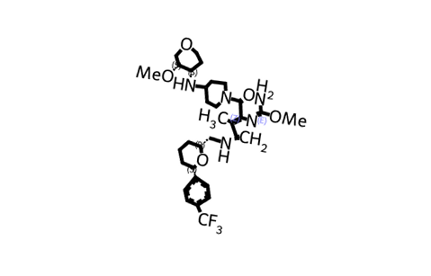 C=C(NC[C@H]1CCC[C@@H](c2ccc(C(F)(F)F)cc2)O1)/C(C)=C(\N=C(/N)OC)C(=O)N1CCC(N[C@H]2CCOC[C@H]2OC)CC1